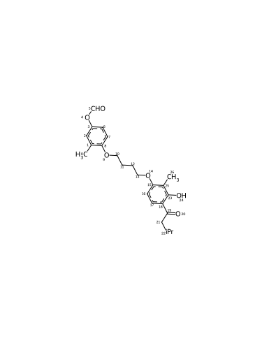 Cc1cc(OC=O)ccc1OCCCCOc1ccc(C(=O)CC(C)C)c(O)c1C